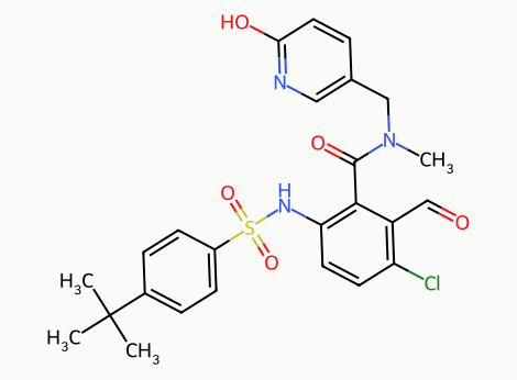 CN(Cc1ccc(O)nc1)C(=O)c1c(NS(=O)(=O)c2ccc(C(C)(C)C)cc2)ccc(Cl)c1C=O